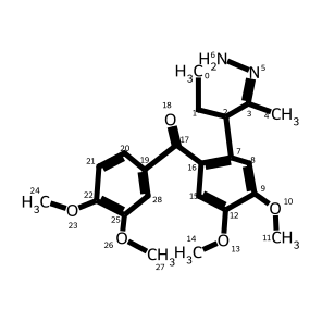 CCC(/C(C)=N\N)c1cc(OC)c(OC)cc1C(=O)c1ccc(OC)c(OC)c1